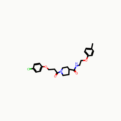 Cc1ccc(OCCNC(=O)C2CCN(C(=O)CCOc3ccc(Cl)cc3)CC2)cc1